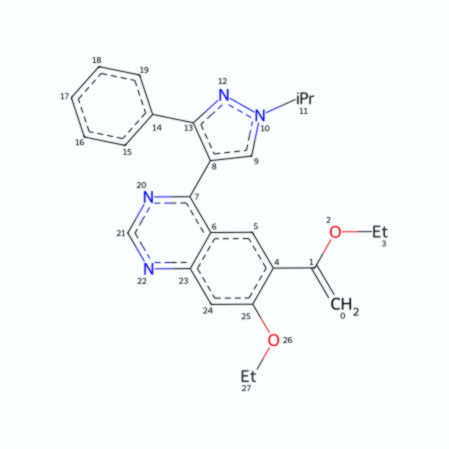 C=C(OCC)c1cc2c(-c3cn(C(C)C)nc3-c3ccccc3)ncnc2cc1OCC